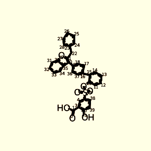 O=C(O)c1cc(S(=O)(=O)Oc2ccccc2-c2ccc(-c3c(Cc4ccccc4)oc4ccccc34)cc2)ccc1O